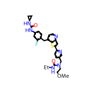 CCNC(=O)N(CCOC)Cc1ccc(-c2cc3nccc(Cc4ccc(NC(=O)NC5CC5)cc4F)c3s2)nc1